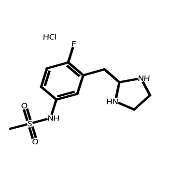 CS(=O)(=O)Nc1ccc(F)c(CC2NCCN2)c1.Cl